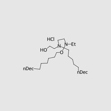 CCCCCCCCCCCCCCCCOC1(CCCCCCCCCCCCCCC)N(CC)CCN1CCO.Cl